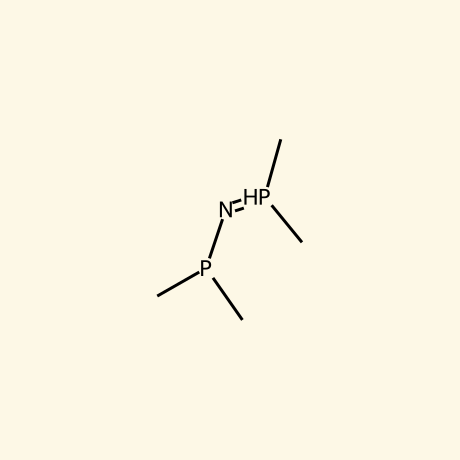 CP(C)N=[PH](C)C